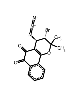 CC1(C)OC2=C(C(=O)C(=O)c3ccccc32)[C@@H](N=[N+]=[N-])[C@@H]1Br